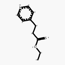 CCOC(=S)CCc1ccncc1